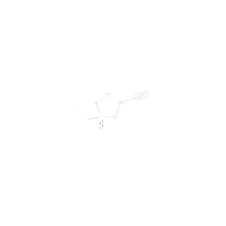 C#CC1C=CP(=O)(OC)C1